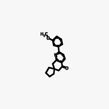 COc1cccc(-c2ccc3c(n2)CC2(CCCC2)CC3=O)c1